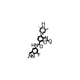 COc1nc2c(N3C[C@H](C)N[C@@H](C)C3)ccc(C(=O)Nc3cc(F)c4nn(C)cc4c3)c2o1